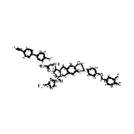 N#Cc1ccc(-c2ccc(C[C@H](NC(=O)C3Cc4cc5c(cc4CN3S(=O)(=O)c3cnc(N)s3)O[C@@H](c3ccc(OCc4ccc(Cl)c(Cl)c4)cc3)CO5)C(=O)O)cc2)cc1